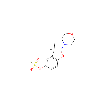 CC1(C)c2cc(OS(C)(=O)=O)ccc2OC1N1CCOCC1